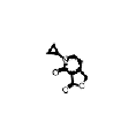 O=C1OCc2ccn(C3CC3)c(=O)c21